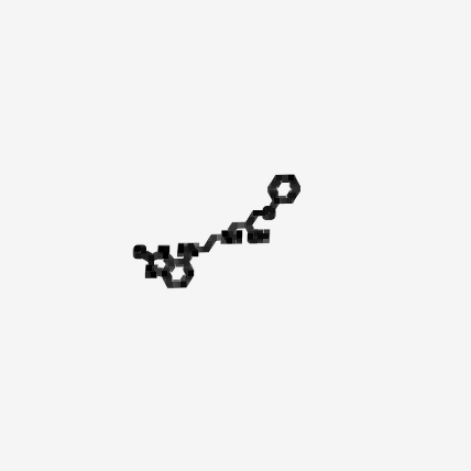 O=C1N=c2cccc(NCCNCC(O)COc3ccccc3)c2=N1